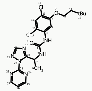 CC(NC(=O)Nc1cc(OCCC(C)(C)C)c(Cl)cc1Cl)c1ncnn1-c1ncccn1